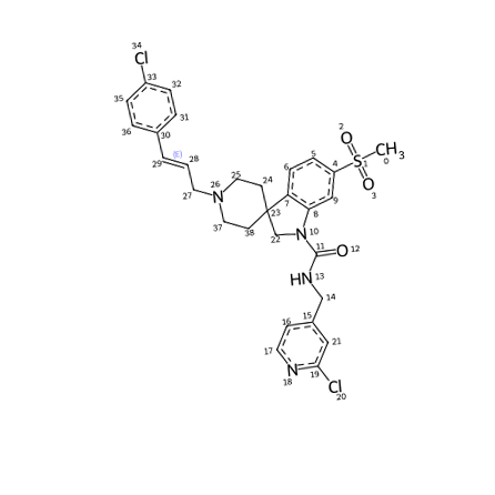 CS(=O)(=O)c1ccc2c(c1)N(C(=O)NCc1ccnc(Cl)c1)CC21CCN(C/C=C/c2ccc(Cl)cc2)CC1